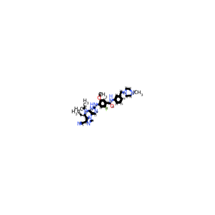 CC[C@@H]1c2c(C#N)ncn2-c2cnc(Nc3cc(F)c(C(=O)Nc4cccc(CN5CCN(C)CC5)c4)cc3OC)nc2N1C(C)C